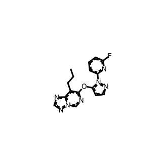 CCCc1c(Oc2ccnn2-c2cccc(F)n2)ncn2ncnc12